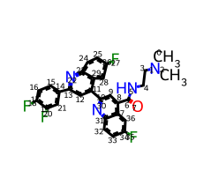 CN(C)CCNC(=O)c1cc(-c2cc(-c3ccc(F)c(F)c3)nc3ccc(F)cc23)nc2ccc(F)cc12